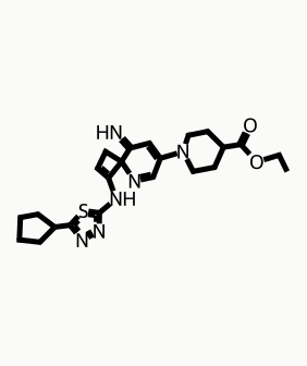 CCOC(=O)C1CCN(C2=CC(=N)C3(CC=C3Nc3nnc(C4CCCC4)s3)N=C2)CC1